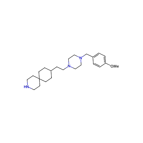 COc1ccc(CN2CCN(CCC3CCC4(CCNCC4)CC3)CC2)cc1